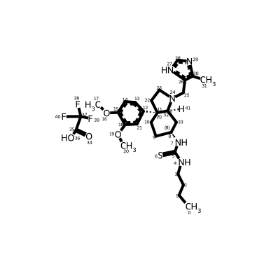 CCCCNC(=S)N[C@@H]1CC[C@@]2(c3ccc(OC)c(OC)c3)CCN(Cc3[nH]cnc3C)[C@H]2C1.O=C(O)C(F)(F)F